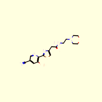 N#Cc1cnc(-c2nc(CC(=O)NCCN3CCOCC3)cs2)c(O)c1